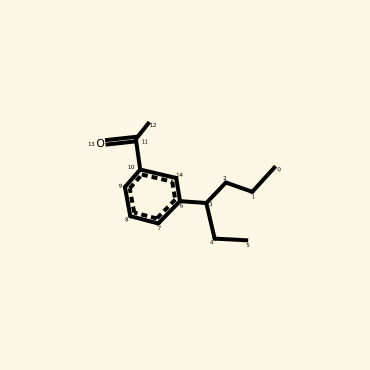 CCCC(CC)c1cccc(C(C)=O)c1